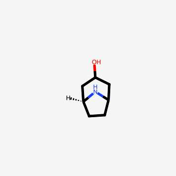 OC1CC2CC[C@@H](C1)N2